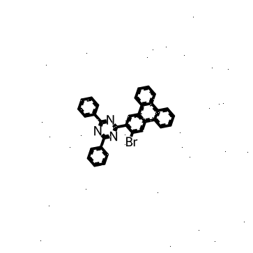 Brc1cc2c3ccccc3c3ccccc3c2cc1-c1nc(-c2ccccc2)nc(-c2ccccc2)n1